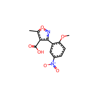 COc1ccc([N+](=O)[O-])cc1-c1noc(C)c1C(=O)O